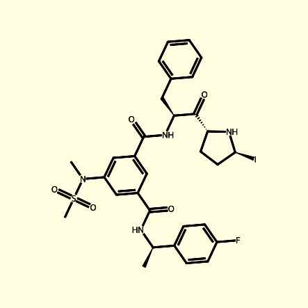 C[C@@H](NC(=O)c1cc(C(=O)N[C@@H](Cc2ccccc2)C(=O)[C@H]2CC[C@H](I)N2)cc(N(C)S(C)(=O)=O)c1)c1ccc(F)cc1